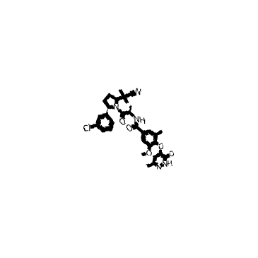 COc1cc(C(=O)N[C@H](C)C(=O)N2C(C(C)(C)C#N)CC[C@H]2c2cccc(Cl)c2)cc(C)c1Oc1cc(C)n[nH]c1=O